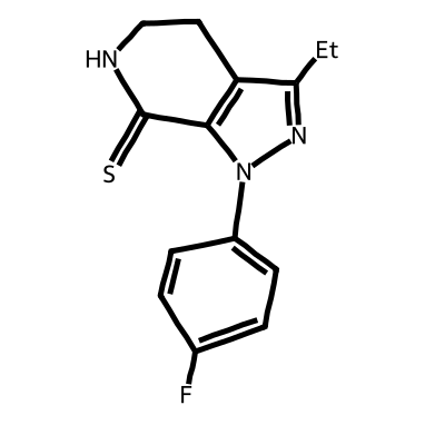 CCc1nn(-c2ccc(F)cc2)c2c1CCNC2=S